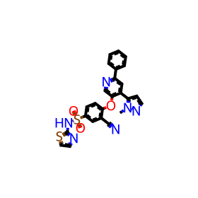 Cn1nccc1-c1cc(-c2ccccc2)ncc1Oc1ccc(S(=O)(=O)Nc2nccs2)cc1C#N